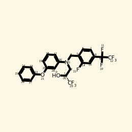 O[C@H](CN(Cc1ccc(C(F)(F)C(F)(F)F)cc1F)c1cccc(Oc2ccccc2)c1)C(F)(F)F